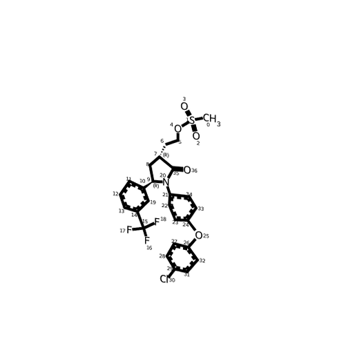 CS(=O)(=O)OCC[C@H]1C[C@H](c2cccc(C(F)(F)F)c2)N(c2ccc(Oc3ccc(Cl)cc3)cc2)C1=O